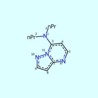 CCCN(CCC)c1ccnc2ccnn12